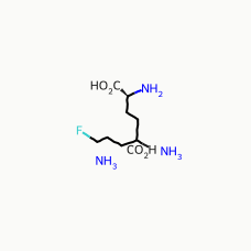 N.N.N[C@@H](CCC(CCCF)C(=O)O)C(=O)O